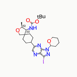 C[C@@H]1OCC2(CCC(c3cnc4c(I)nn(C5CCCCO5)c4n3)CC2)[C@@H]1NC(=O)OC(C)(C)C